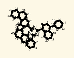 c1ccc(-c2nc(-c3ccc(-c4ccccc4)c4ccccc34)nc(-c3cc4ccc5ccccc5c4c4sc5ccc6ccccc6c5c34)n2)cc1